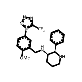 COc1ccc(-n2nnnc2C(F)(F)F)cc1CN[C@@H]1CCCN[C@@H]1c1ccccc1